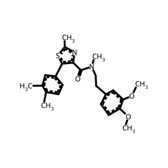 COc1ccc(CCN(C)C(=O)c2nc(C)sc2-c2ccc(C)c(C)c2)cc1OC